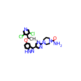 CC(Oc1ccc2[nH]nc(-c3cnc(N4CCCN(C(N)=O)CC4)nc3)c2c1)c1c(Cl)cncc1Cl